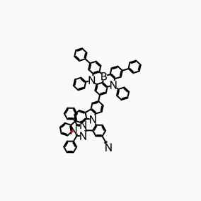 N#Cc1ccc(-n2c3ccc(-c4cc5c6c(c4)N(c4ccccc4)c4cc(-c7ccccc7)ccc4B6c4ccc(-c6ccccc6)cc4N5c4ccccc4)cc3c3ccc(-c4ccccc4)cc32)c(-c2nc(-c3ccccc3)nc(-c3ccccc3)n2)c1